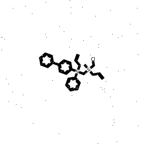 C=CC[Si](C)(CCl)C[Si](CC=C)(c1ccccc1)c1ccc(-c2ccccc2)cc1